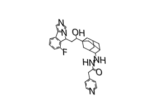 O=C(Cc1ccncc1)NNC1C2CC3CC1CC(C(O)CC1c4c(F)cccc4-c4cncn41)(C3)C2